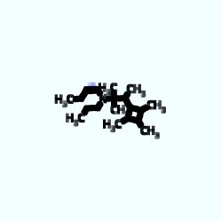 CC/C=C\N(CCC)C(C)(C)C(C)C1C(C)C(C)C1C